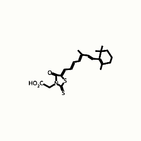 CC(C=CC1=C(C)CCCC1(C)C)=CC=CC=C1SC(=S)N(CC(=O)O)C1=O